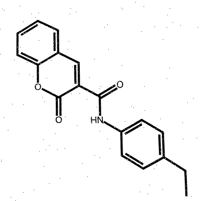 CCc1ccc(NC(=O)c2cc3ccccc3oc2=O)cc1